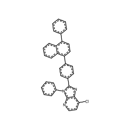 Clc1ccnc2c1nc(-c1ccc(-c3ccc(-c4ccccc4)c4ccccc34)cc1)n2-c1ccccc1